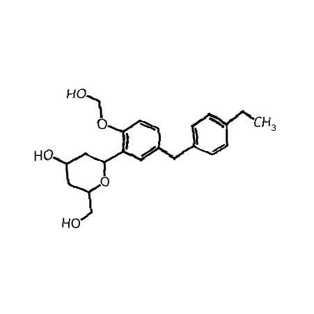 CCc1ccc(Cc2ccc(OCO)c(C3CC(O)CC(CO)O3)c2)cc1